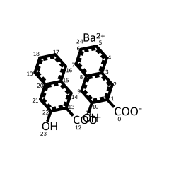 O=C([O-])c1cc2ccccc2cc1O.O=C([O-])c1cc2ccccc2cc1O.[Ba+2]